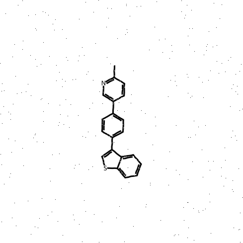 Cc1ccc(-c2ccc(-c3csc4ccccc34)cc2)cn1